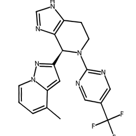 Cc1cccn2nc([C@H]3c4nc[nH]c4CCN3c3ncc(C(F)(F)F)cn3)cc12